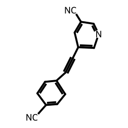 N#Cc1ccc(C#Cc2cncc(C#N)c2)cc1